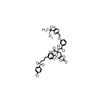 Cc1oc(=O)oc1CC(NC(=O)c1cccc(OCc2nc(C(C)(C)C)cs2)c1)(Oc1ccc(CCCS(=O)(=O)c2ccc(Cl)cc2)cc1)C(=O)O